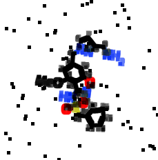 COc1cc(Cn2ccc(CN)n2)cc2onc(NS(=O)(=O)Cc3ccccc3)c12